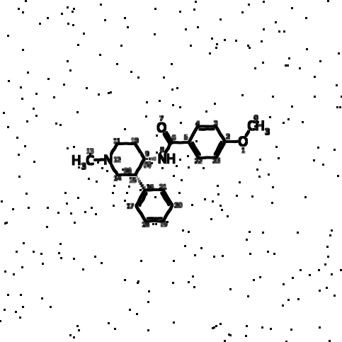 COc1ccc(C(=O)N[C@H]2CCN(C)C[C@H]2c2ccccc2)cc1